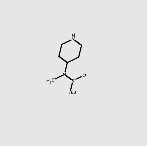 CN(C1CCNCC1)[S+]([O-])C(C)(C)C